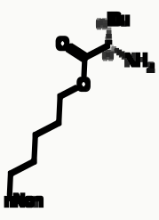 CCCCCCCCCCCCCCOC(=O)[C@@H](N)[C@@H](C)CC